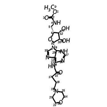 COC(=O)NC[C@H]1O[C@@H](N2C=NC3=C(NC(=O)CCCN4CCOCC4)N=CNC32)[C@H](O)[C@@H]1O